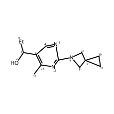 CCC(O)c1cnc(N2CC3(CC3)C2)nc1C